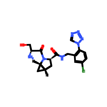 N[C@H](CO)C(=O)N1[C@H](C(=O)NCc2cc(Cl)ccc2-n2cnnn2)C[C@@H]2C[C@@H]21